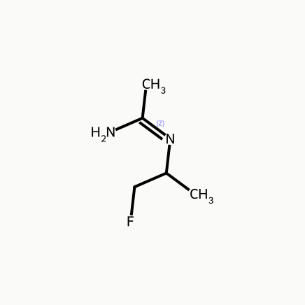 C/C(N)=N/C(C)CF